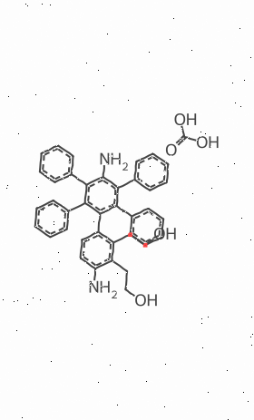 Nc1ccc(-c2c(-c3ccccc3)c(-c3ccccc3)c(N)c(-c3ccccc3)c2-c2ccccc2)c(CCO)c1CCO.O=C(O)O